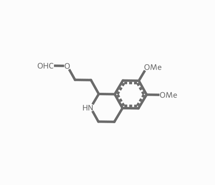 COc1cc2c(cc1OC)C(CCOC=O)NCC2